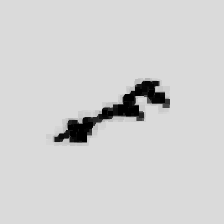 CCCCCC(NC)C(=O)NCCOCCCCCOCCN/C=C(\N)c1ccc(CCOC2CC(N)CC(CC)O2)cc1